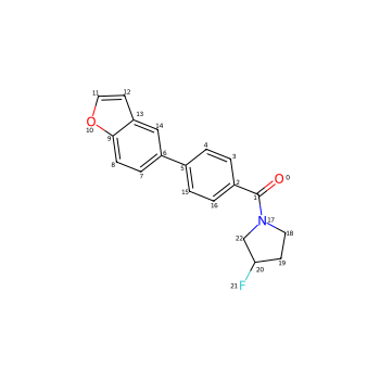 O=C(c1ccc(-c2ccc3occc3c2)cc1)N1CCC(F)C1